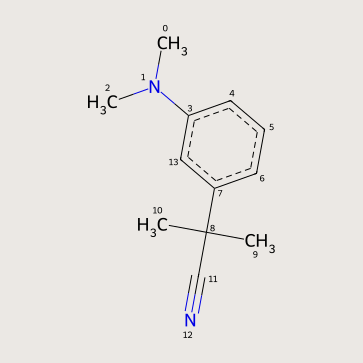 CN(C)c1cccc(C(C)(C)C#N)c1